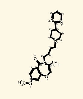 COc1ccc2c(c1)OC=C(C)N(CCCCN1CCC(c3ncccn3)CC1)C2=O